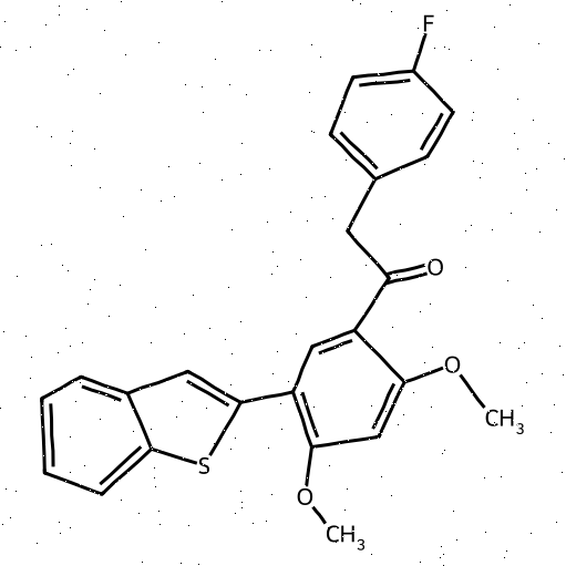 COc1cc(OC)c(-c2cc3ccccc3s2)cc1C(=O)Cc1ccc(F)cc1